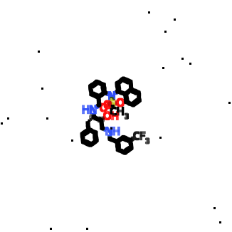 CS(=O)(=O)N(c1ccccc1C(=O)N[C@@H](Cc1ccccc1)[C@H](O)CNCc1cccc(C(F)(F)F)c1)c1cccc2ccccc12